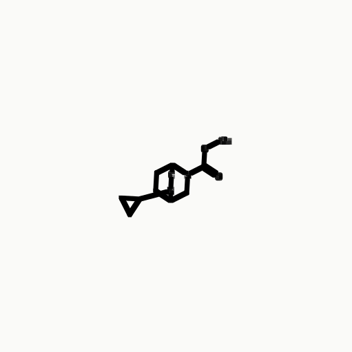 CC(C)(C)OC(=O)N1CC2CCC1CN2C1CC1